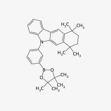 CC1(C)CCC(C)(C)c2cc3c(cc21)c1ccccc1n3-c1cccc(B2OC(C)(C)C(C)(C)O2)c1